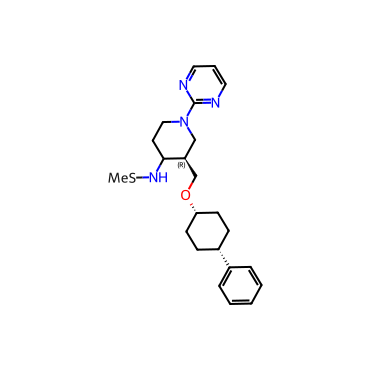 CSNC1CCN(c2ncccn2)C[C@H]1CO[C@H]1CC[C@@H](c2ccccc2)CC1